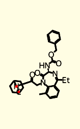 CCC1=N[C@H](NC(=O)OCc2ccccc2)C(=O)N(CC(=O)N2CC3CCC(CC3)C2)c2c(C)cccc21